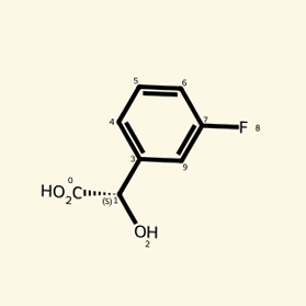 O=C(O)[C@@H](O)c1cccc(F)c1